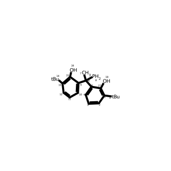 CC(C)(C)c1cccc(C(C)(P)c2cccc(C(C)(C)C)c2O)c1O